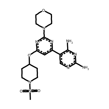 CS(=O)(=O)N1CCC(Oc2cc(-c3cnc(N)nc3N)nc(N3CCOCC3)n2)CC1